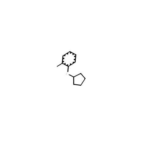 CC(C)(C)c1ccccc1NC1CCCC1